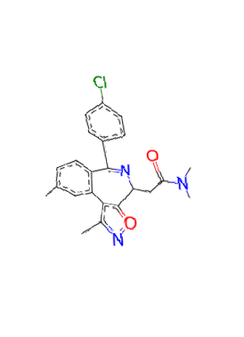 Cc1ccc2c(c1)-c1c(C)noc1C(CC(=O)N(C)C)N=C2c1ccc(Cl)cc1